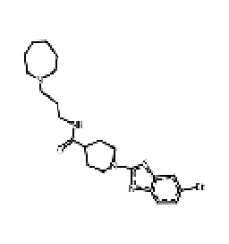 CCc1ccc2nc(N3CCC(C(=O)NCCCN4CCCCCC4)CC3)sc2c1